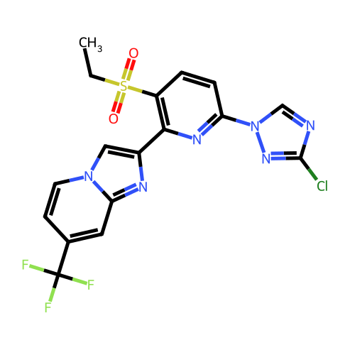 CCS(=O)(=O)c1ccc(-n2cnc(Cl)n2)nc1-c1cn2ccc(C(F)(F)F)cc2n1